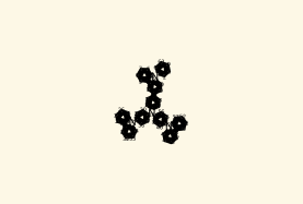 c1ccc(-n2c3ccccc3c3cc(-c4ccc(N(c5ccc(-n6c7ccccc7c7ccccc76)cc5)c5ccc(-n6c7ccccc7c7ccccc76)cc5)cc4)ccc32)cc1